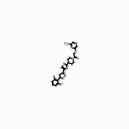 O=C(COc1cncc(C(F)(F)F)n1)N1CCC(c2nc(C3=NOC(c4c(F)cccc4Cl)C3)cs2)CC1